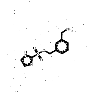 NCc1cccc(COS(=O)(=O)c2ncc[nH]2)c1